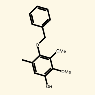 COc1c(O)cc(C)c(OCc2ccccc2)c1OC